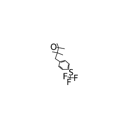 CC(C)(Cc1ccc(SC(F)(F)F)cc1)C1(C)CO1